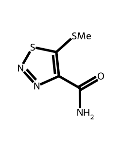 [CH2]Sc1snnc1C(N)=O